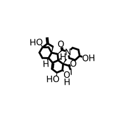 C=C1C[C@]23C[C@@]1(O)CC[C@H]2C1=C[C@@H](O)[C@H](O)[C@@](C)(C(=O)I)[C@H]1[C@@H]3C(=O)N1CCC(O)CC1